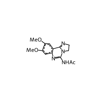 COc1cc2c(cc1OC)C1=NCCN1C(NC(C)=O)=N2